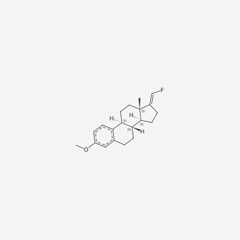 COc1ccc2c(c1)CC[C@@H]1[C@@H]2CC[C@]2(C)C(=CF)CC[C@@H]12